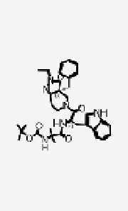 CCN1N=C2CCN(C(=O)[C@@H](Cc3c[nH]c4ccccc34)NC(=O)C(C)(C)NC(=O)OC(C)(C)C)C[C@]2(Cc2ccccc2)C1=O